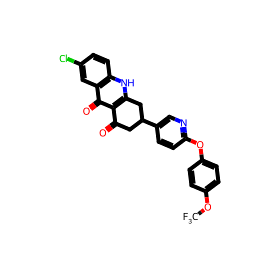 O=C1CC(c2ccc(Oc3ccc(OC(F)(F)F)cc3)nc2)Cc2[nH]c3ccc(Cl)cc3c(=O)c21